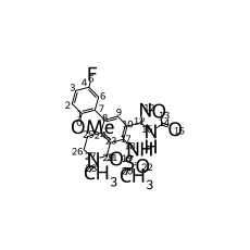 COc1ccc(F)cc1-c1cc(-c2noc(=O)[nH]2)c(NS(C)(=O)=O)c2c1CCN(C)C2